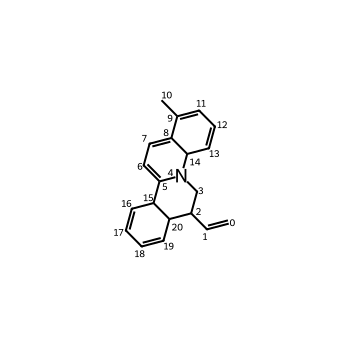 C=CC1CN2C(=CC=C3C(C)=CC=CC32)C2C=CC=CC12